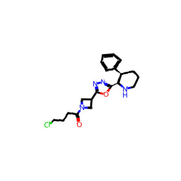 O=C(CCCCl)N1CC(c2nnc([C@@H]3NCCC[C@@H]3c3ccccc3)o2)C1